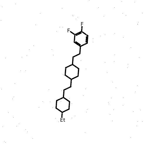 CCC1CCC(CCC2CCC(CCc3ccc(F)c(F)c3)CC2)CC1